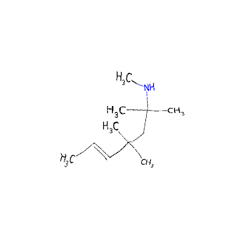 C/C=C/C(C)(C)CC(C)(C)NC